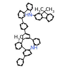 CC1(C)c2ccccc2-c2ccc(Nc3ccccc3-c3cccc(-c4ccc(C5=CC6=C[C@@](C)(C5)c5ccccc5-c5cc(-c7ccccc7)ccc5Nc5ccccc56)cc4)c3)cc21